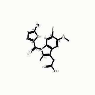 COc1cc2c(CC(=O)O)c(C)n(C(=O)c3ccc(O)s3)c2cc1F